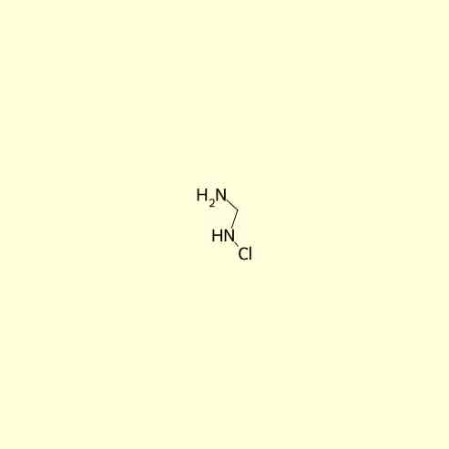 NCNCl